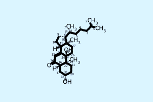 CC(C)CCC[C@@H](C)[C@H]1CC[C@H]2C3=CC(=O)[C@H]4C[C@@H](O)CC[C@]4(C)[C@@]3(O)CC[C@]12C